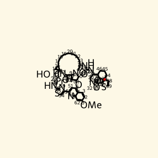 COc1ccc2c(O[C@@H]3C[C@H]4C(=O)N[C@]5(C(=O)O)CC5CCCCCCC[C@H](NC(=O)NC(CN(C)S(=O)(=O)c5cccs5)C5CCCCC5)C(=O)N4C3)cc(-c3csc(NC(C)C)n3)nc2c1